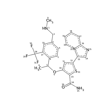 CNCc1ccc(C(C)Oc2cc(-c3cnc4ccccn34)sc2C(N)=O)c(C(F)(F)F)c1